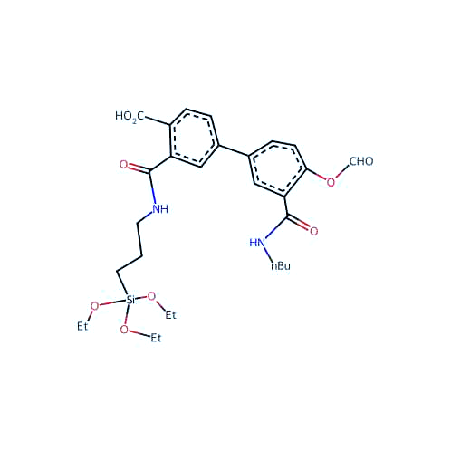 CCCCNC(=O)c1cc(-c2ccc(C(=O)O)c(C(=O)NCCC[Si](OCC)(OCC)OCC)c2)ccc1OC=O